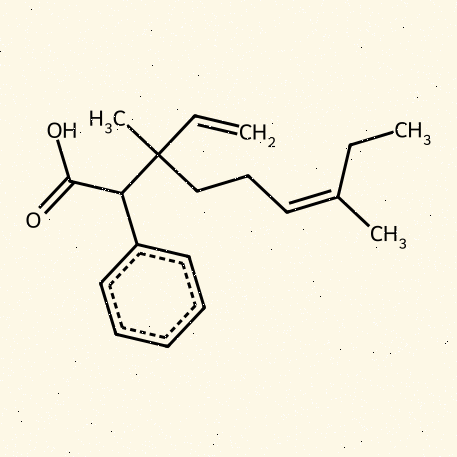 C=CC(C)(CC/C=C(/C)CC)C(C(=O)O)c1ccccc1